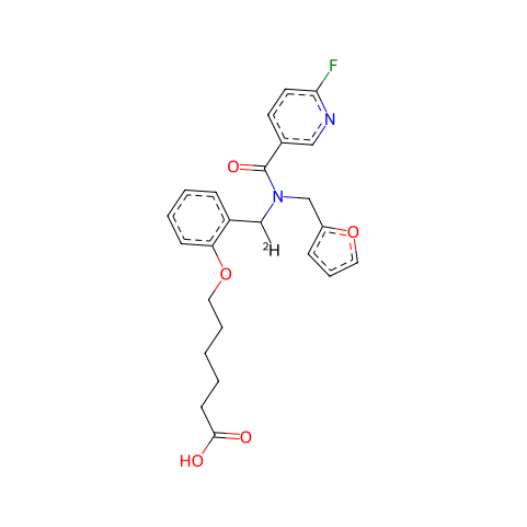 [2H]C(c1ccccc1OCCCCCC(=O)O)N(Cc1ccco1)C(=O)c1ccc(F)nc1